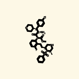 COC(=O)N(C(=O)[C@@H](N)[C@@H](c1ccc(Cl)cc1)C1CCOCC1)c1cccc(F)c1CC[C@H]1CNC[C@H](C)N1S(=O)(=O)c1ccccc1